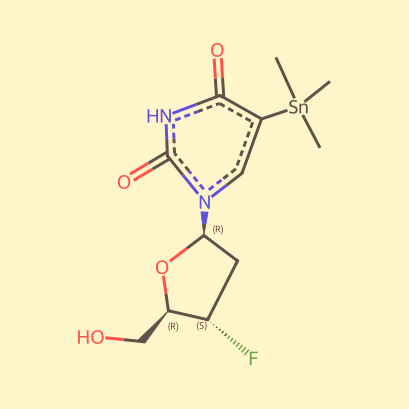 [CH3][Sn]([CH3])([CH3])[c]1cn([C@H]2C[C@H](F)[C@@H](CO)O2)c(=O)[nH]c1=O